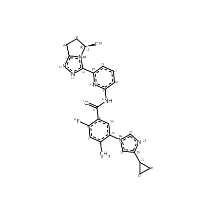 Cc1cc(F)c(C(=O)Nc2cccc(-c3nnc4n3[C@H](F)CC4)n2)cc1-n1cnc(C2CC2)c1